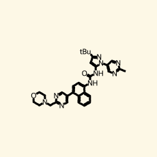 Cc1ncc(-n2nc(C(C)(C)C)cc2NC(=O)Nc2ccc(-c3cnc(CN4CCOCC4)nc3)c3ccccc23)cn1